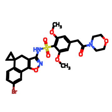 COc1cc(CC(=O)N2CCOCC2)cc(OC)c1S(=O)(=O)Nc1noc2c1CC1(CC1)c1ccc(Br)cc1-2